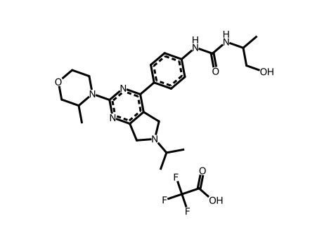 CC(CO)NC(=O)Nc1ccc(-c2nc(N3CCOCC3C)nc3c2CN(C(C)C)C3)cc1.O=C(O)C(F)(F)F